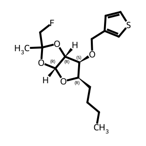 CCCC[C@H]1O[C@@H]2OC(C)(CF)O[C@@H]2[C@H]1OCc1ccsc1